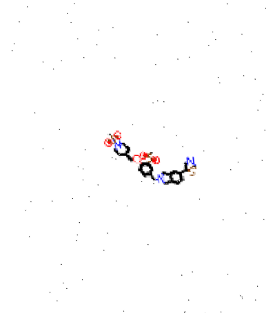 CS(=O)(=O)c1cc(CN2Cc3ccc(-c4cncs4)cc3C2)ccc1OCC1CCN(S(C)(=O)=O)CC1